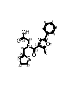 Cc1oc(-c2ccccc2)nc1C(=O)N(CC(=O)O)CC1=NCCS1